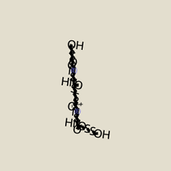 O=C(NCSC/N=C/[S+]([O-])CCSCCSC(=O)NCSC/N=C/OOCSCSCO)OCSCSCO